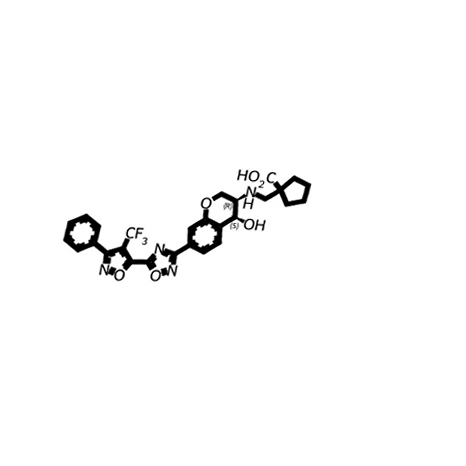 O=C(O)C1(CN[C@@H]2COc3cc(-c4noc(-c5onc(-c6ccccc6)c5C(F)(F)F)n4)ccc3[C@@H]2O)CCCC1